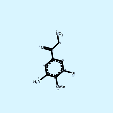 COc1c(N)cc(C(=O)C[N+](=O)[O-])cc1Br